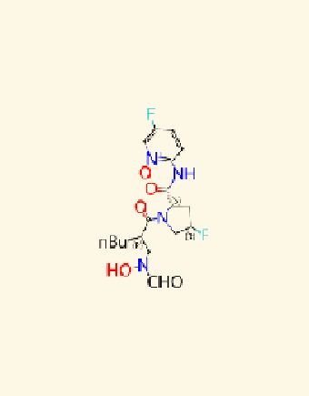 CCCC[C@H](CN(O)C=O)C(=O)N1C[C@H](F)C[C@H]1C(=O)Nc1ccc(F)c[n+]1[O-]